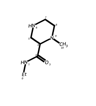 CCNC(=O)C1CNCCN1C